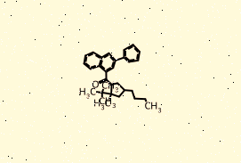 CCCCC1CC(C(=O)c2cc(-c3ccccc3)cc3ccccc23)C(C)(C(C)(C)C)C1